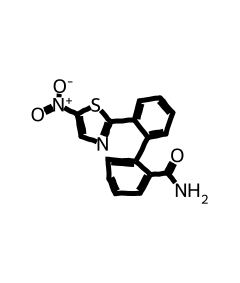 NC(=O)c1ccccc1-c1ccccc1-c1ncc([N+](=O)[O-])s1